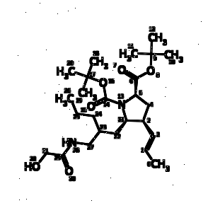 CC=C[C@@H]1C[C@H](C(=O)OC(C)(C)C)N(C(=O)OC(C)(C)C)[C@@H]1CC(CCC)CNC(=O)CO